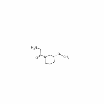 CO[C@@H]1CCCN(C(=O)CN)C1